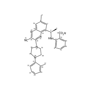 Cc1cc([C@@H](C)Nc2ccccc2C(=O)O)c2nc(N3CCN(c4ccccc4C)CC3)c(C#N)nc2c1